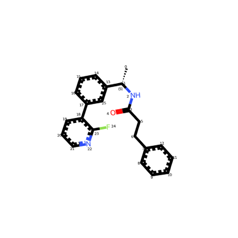 C[C@H](NC(=O)CCc1ccccc1)c1cccc(-c2cccnc2F)c1